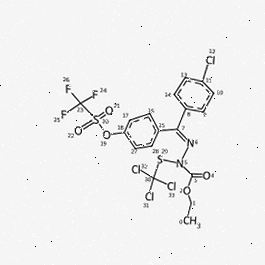 CCOC(=O)N(N=C(c1ccc(Cl)cc1)c1ccc(OS(=O)(=O)C(F)(F)F)cc1)SC(Cl)(Cl)Cl